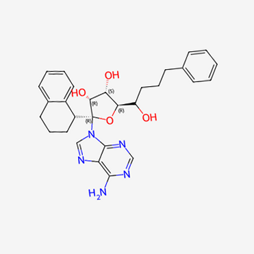 Nc1ncnc2c1ncn2[C@]1(C2CCCc3ccccc32)O[C@H](C(O)CCCc2ccccc2)[C@@H](O)[C@H]1O